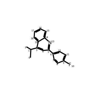 CC(C)c1cc(-c2ccc(F)cc2)nc2ccccc12